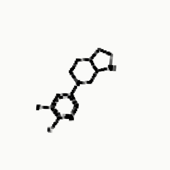 Fc1cc(N2CCC3CCNC3C2)cnc1Cl